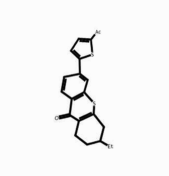 CCC1CCc2c(sc3cc(-c4ccc(C(C)=O)s4)ccc3c2=O)C1